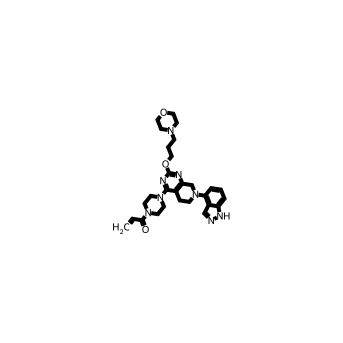 C=CC(=O)N1CCN(c2nc(OCCCN3CCOCC3)nc3c2CCN(c2cccc4[nH]ncc24)C3)CC1